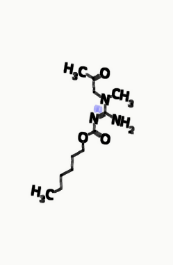 CCCCCCOC(=O)/N=C(\N)N(C)CC(C)=O